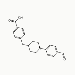 O=Cc1ccc(N2CCC(Cc3ccc(C(=O)O)cc3)CC2)cc1